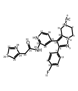 CC(=O)N1CCn2nc(-c3ccc(F)cc3)c(-c3ccnc(NC(=O)Cc4cscn4)c3)c2C1